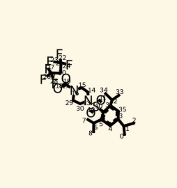 CC(C)c1cc(C(C)C)c(S(=O)(=O)N2CCN(C(=O)OC(C(F)(F)F)C(F)(F)F)CC2)c(C(C)C)c1